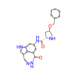 O=C1NN=Cc2c[nH]c3cc(NC(=O)[C@@H]4C[C@@H](OCc5ccccc5)CN4)cc1c23